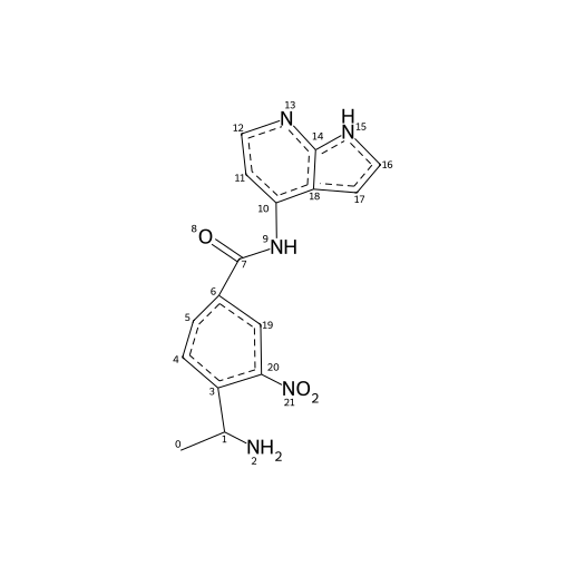 CC(N)c1ccc(C(=O)Nc2ccnc3[nH]ccc23)cc1[N+](=O)[O-]